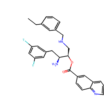 CCc1cccc(CNC[C@@H](OC(=O)c2ccc3ncccc3c2)[C@@H](N)Cc2cc(F)cc(F)c2)c1